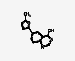 Cc1ccc(-c2ccc3ncnc(O)c3c2)o1